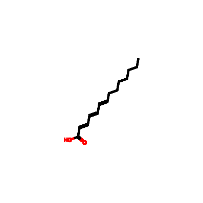 CCCCCCCC=CC=CC=CC(=O)O